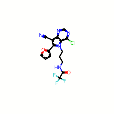 N#Cc1c(-c2ccco2)n(CCCNC(=O)C(F)(F)F)c2c(Cl)ncnc12